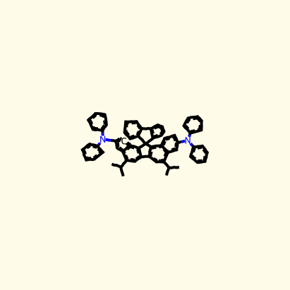 CC(C)c1cc2c(c3ccc(N(c4ccccc4)c4ccccc4)cc13)C1(c3ccccc3-c3ccccc31)c1c-2cc(C(C)C)c2cc(N(c3ccccc3)c3ccccc3)ccc12